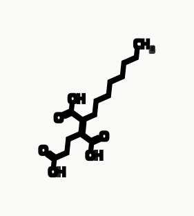 CCCCCCCC/C(C(=O)O)=C(/CCC(=O)O)C(=O)O